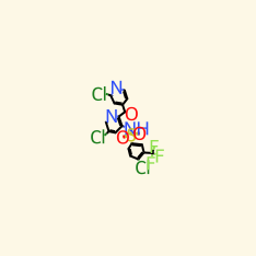 O=C(c1ccnc(Cl)c1)c1ncc(Cl)cc1NS(=O)(=O)c1ccc(Cl)c(C(F)(F)F)c1